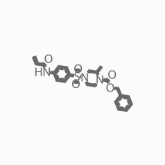 C=CC(=O)Nc1ccc(S(=O)(=O)N2CCN(C(=O)OCc3ccccc3)C(C)C2)cc1